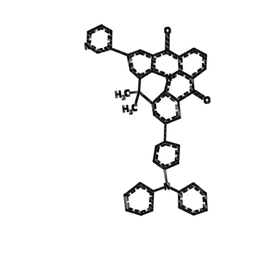 CC1(C)c2cc(-c3ccc(N(c4ccccc4)c4ccccc4)cc3)cc3c(=O)c4cccc5c(=O)c6cc(-c7cccnc7)cc1c6n(c23)c45